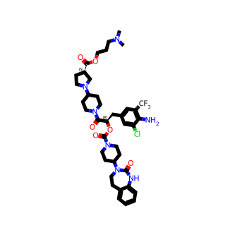 CN(C)CCCOC(=O)[C@H]1CCN(C2CCN(C(=O)[C@@H](Cc3cc(Cl)c(N)c(C(F)(F)F)c3)OC(=O)N3CCC(N4CCc5ccccc5NC4=O)CC3)CC2)C1